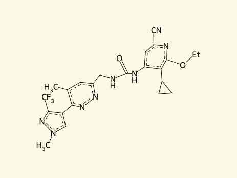 CCOc1nc(C#N)cc(NC(=O)NCc2cc(C)c(-c3cn(C)nc3C(F)(F)F)nn2)c1C1CC1